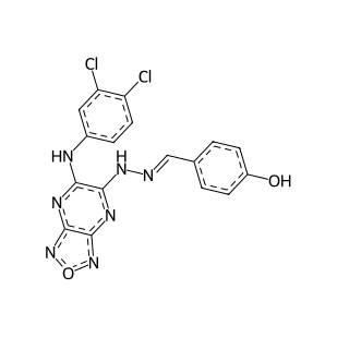 Oc1ccc(C=NNc2nc3nonc3nc2Nc2ccc(Cl)c(Cl)c2)cc1